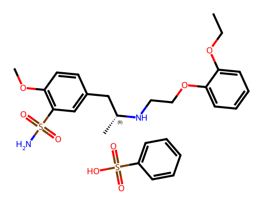 CCOc1ccccc1OCCN[C@H](C)Cc1ccc(OC)c(S(N)(=O)=O)c1.O=S(=O)(O)c1ccccc1